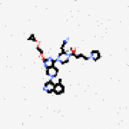 Cc1cccc2cncc(N3CCc4c(nc(OCCOC5CC5)nc4N4CCN(C(=O)/C=C/CN5CCCC5)[C@]([SiH3])(CC#N)C4)C3)c12